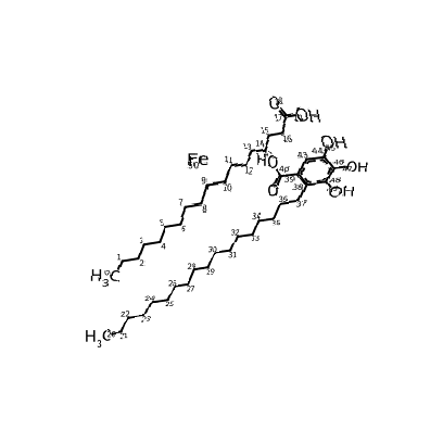 CCCCCCCCCCCCCCCCCC(=O)O.CCCCCCCCCCCCCCCCCCc1c(C(=O)O)cc(O)c(O)c1O.[Fe]